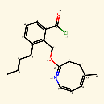 CCCCc1cccc(C(=O)Cl)c1CO/C1=N/C=C\C=C(\C)CC1